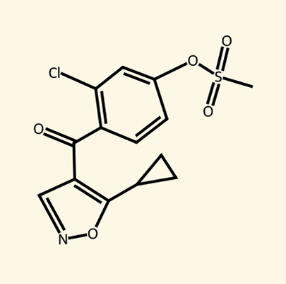 CS(=O)(=O)Oc1ccc(C(=O)c2cnoc2C2CC2)c(Cl)c1